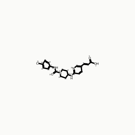 O=C(O)/C=C/c1ccc(NC2CCN(C(=O)Nc3ccc(Cl)cc3)CC2)nc1